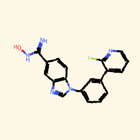 N=C(NO)c1ccc2c(c1)ncn2-c1cccc(-c2cccnc2F)c1